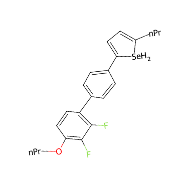 CCCOc1ccc(-c2ccc(C3=CC=C(CCC)[SeH2]3)cc2)c(F)c1F